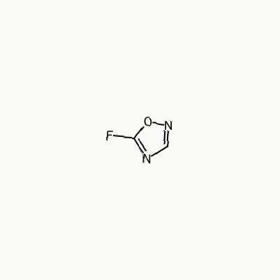 Fc1ncno1